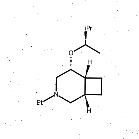 CCN1C[C@H]2CC[C@H]2[C@@H](O[C@H](C)C(C)C)C1